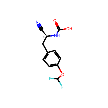 N#C[C@H](Cc1ccc(OC(F)F)cc1)NC(=O)O